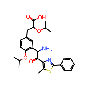 Cc1sc(-c2ccccc2)nc1C(=O)C(N)c1cc(CC(OC(C)C)C(=O)O)ccc1OC(C)C